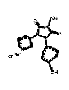 CCCCC1C(=O)N(c2ccccc2)N(c2ccc(O)cc2)C1=O.[Cl-].[Na+]